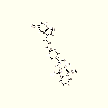 C=N/C(=N\C=C(/C)c1ccccc1C(N)=O)N1CCN(CCCc2c[nH]c3ccc(C#N)cc23)CC1